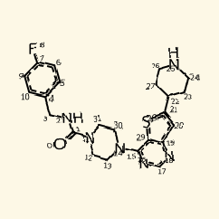 O=C(NCc1ccc(F)cc1)N1CCN(c2ncnc3cc(C4CCNCC4)sc23)CC1